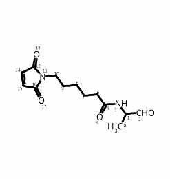 CC(C=O)NC(=O)CCCCCN1C(=O)C=CC1=O